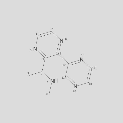 CNC(C)c1nccnc1-c1cnccn1